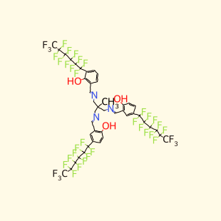 CC(C/N=C/c1cc(C(F)(F)C(F)(F)C(F)(F)C(F)(F)C(F)(F)C(F)(F)F)ccc1O)(C/N=C/c1cc(C(F)(F)C(F)(F)C(F)(F)C(F)(F)C(F)(F)C(F)(F)F)ccc1O)C/N=C/c1cccc(C(F)(F)C(F)(F)C(F)(F)C(F)(F)C(F)(F)C(F)(F)F)c1O